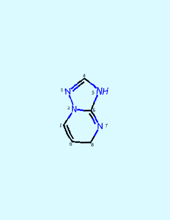 C1=CN2N=CNC2=NC1